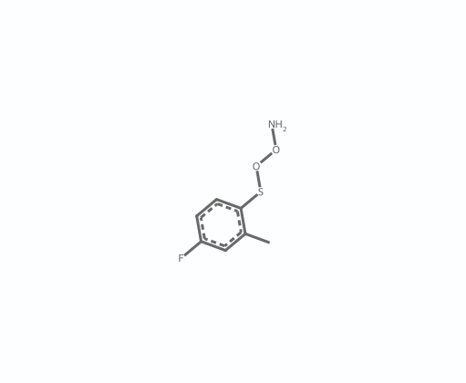 Cc1cc(F)ccc1SOON